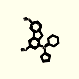 CC(C)(C)c1ccc2c(c1)-c1cc(C(C)(C)C)c[c]([Zr]([C]3=CC=CC3)=[C]3CCCCC3)c1C2